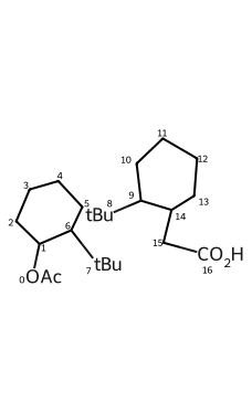 CC(=O)OC1CCCCC1C(C)(C)C.CC(C)(C)C1CCCCC1CC(=O)O